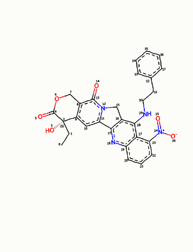 CC[C@@]1(O)C(=O)OCc2c1cc1n(c2=O)Cc2c-1nc1cccc([N+](=O)[O-])c1c2NCCc1ccccc1